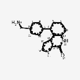 NCc1ccc(-c2cccc3[nH]c(=O)c4sccc4c23)cc1